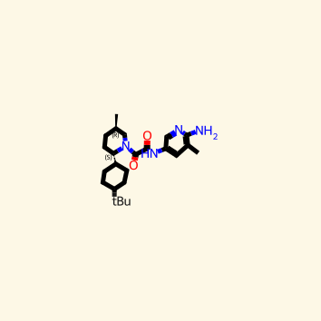 Cc1cc(NC(=O)C(=O)N2C[C@H](C)CC[C@H]2C2CCC(C(C)(C)C)CC2)cnc1N